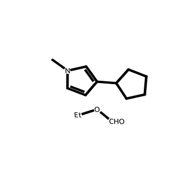 CCOC=O.Cn1ccc(C2CCCC2)c1